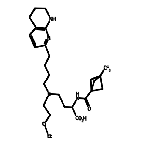 CCOCCN(CCCCc1ccc2c(n1)NCCC2)CCC(NC(=O)C12CC(C(F)(F)F)(C1)C2)C(=O)O